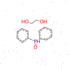 O=[PH](c1ccccc1)c1ccccc1.OCCO